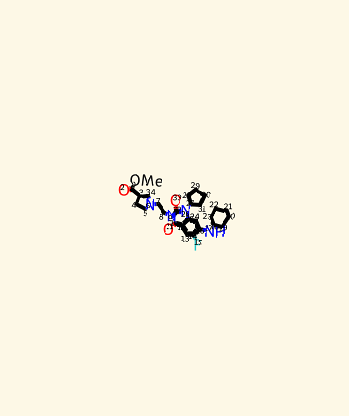 COC(=O)C1CCN(CCn2c(=O)c3cc(F)c(NC4CCCCC4)cc3n(C3CCCC3)c2=O)C1